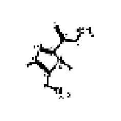 BCC(=C)c1nc(C)c(CB)n1C